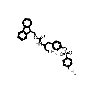 CCC(Cc1ccc(OS(=O)(=O)c2ccc(C)cc2)cc1)NC(=O)OCC1c2ccccc2-c2ccccc21